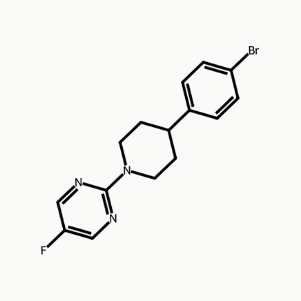 Fc1cnc(N2CCC(c3ccc(Br)cc3)CC2)nc1